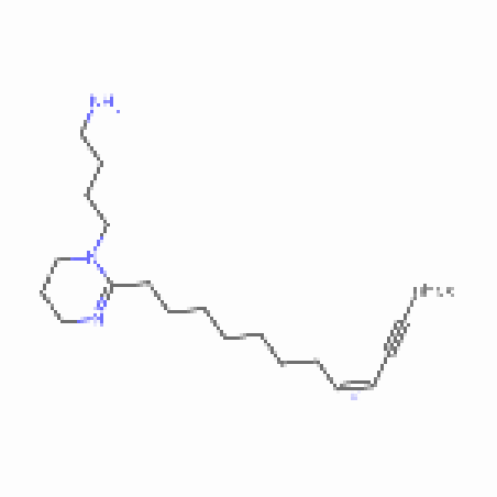 CCCCCCC#C/C=C\CCCCCCCC1=NCCCN1CCCCN